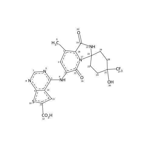 Cc1cc(Nc2ncnc3sc(C(=O)O)cc23)c(=O)n2c1C(=O)NC21CCC(O)(C(F)(F)F)CC1